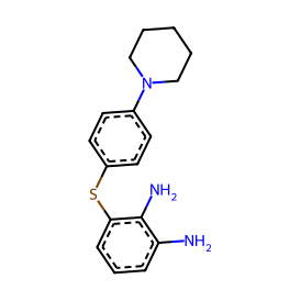 Nc1cccc(Sc2ccc(N3CCCCC3)cc2)c1N